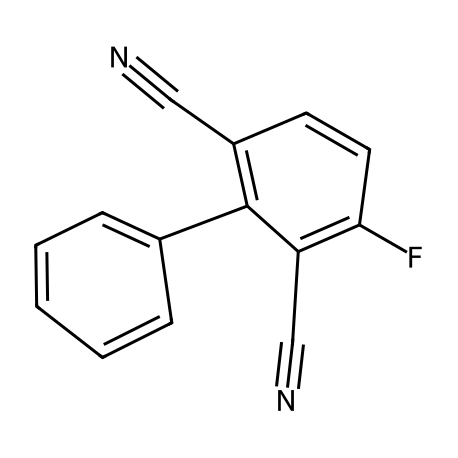 N#Cc1ccc(F)c(C#N)c1-c1ccccc1